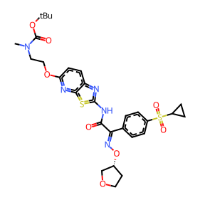 CN(CCOc1ccc2nc(NC(=O)/C(=N/O[C@@H]3CCOC3)c3ccc(S(=O)(=O)C4CC4)cc3)sc2n1)C(=O)OC(C)(C)C